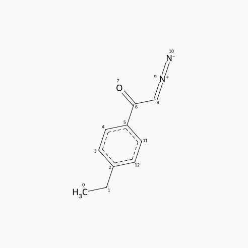 CCc1ccc(C(=O)C=[N+]=[N-])cc1